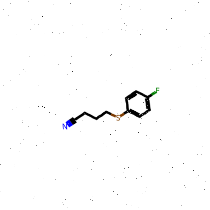 N#CCCCSc1ccc(F)cc1